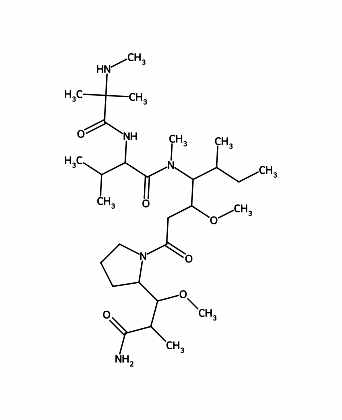 CCC(C)C(C(CC(=O)N1CCCC1C(OC)C(C)C(N)=O)OC)N(C)C(=O)C(NC(=O)C(C)(C)NC)C(C)C